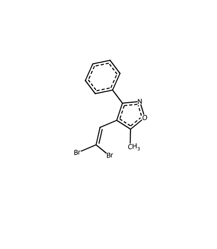 Cc1onc(-c2ccccc2)c1C=C(Br)Br